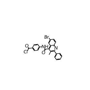 Cc1c(-c2ccccc2)nc2ccc(Br)cc2c1C(=O)Nc1ccc(C(=O)Cl)cc1